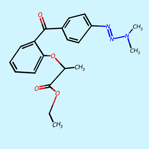 CCOC(=O)C(C)Oc1ccccc1C(=O)c1ccc(N=NN(C)C)cc1